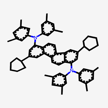 Cc1cc(C)cc(N(c2cc(C)cc(C)c2)c2cc(C3CCCCC3)cc3c2ccc2c4cc(C5CCCCC5)cc(N(c5cc(C)cc(C)c5)c5cc(C)cc(C)c5)c4ccc32)c1